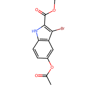 CCOC(=O)c1[nH]c2ccc(OC(C)=O)cc2c1Br